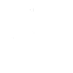 C#CS1(c2ccccc2)C(c2ccccc2)=C(c2ccccc2)C(c2ccccc2)=C1c1ccccc1